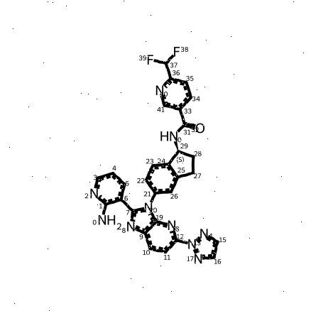 Nc1ncccc1-c1nc2ccc(-n3nccn3)nc2n1-c1ccc2c(c1)CC[C@@H]2NC(=O)c1ccc(C(F)F)nc1